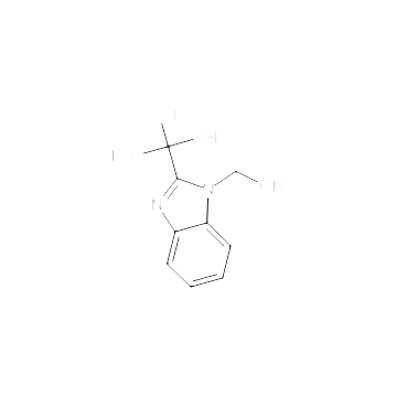 CC(C)(C)c1nc2ccccc2n1CO